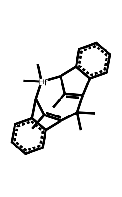 CC1=C2c3ccccc3[CH]1[Hf]([CH3])([CH3])[CH]1C(C)=C(c3ccccc31)C2(C)C